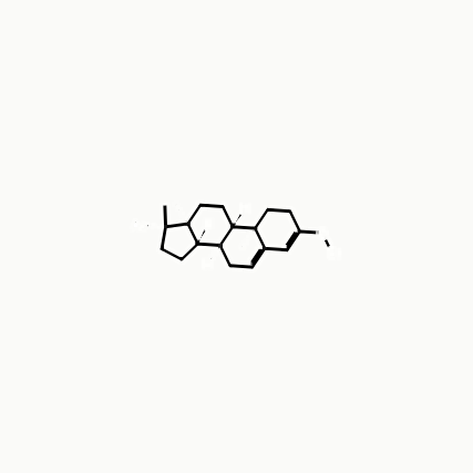 CCOC1=CC2=CC[C@@H]3[C@H](CC[C@@]4(C)[C@H]3CC[C@]4(C)C(C)=O)[C@@]2(C)CC1